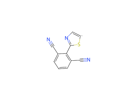 N#Cc1cccc(C#N)c1-c1nc[c]s1